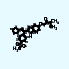 CN(C)C(=O)COc1cnc2[nH]c(C(=CC3CCCC3)c3ccc(S(C)(=O)=O)cc3)cc2c1